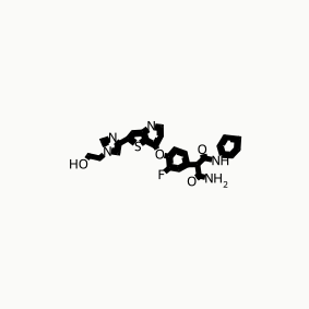 NC(=O)C(C(=O)Nc1ccccc1)c1ccc(Oc2ccnc3cc(-c4cn(CCO)cn4)sc23)c(F)c1